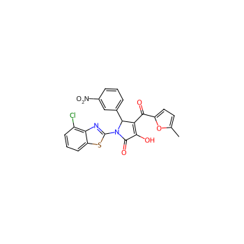 Cc1ccc(C(=O)C2=C(O)C(=O)N(c3nc4c(Cl)cccc4s3)C2c2cccc([N+](=O)[O-])c2)o1